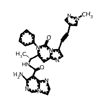 C[C@@H](NC(=O)c1c(N)ncn2ccnc12)c1cc2ncc(C#Cc3cnn(C)c3)n2c(=O)n1-c1ccccc1